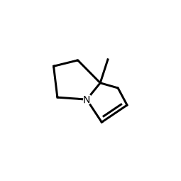 CC12CC=CN1CCC2